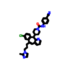 Cc1nccn1CCCC1=Cc2cccnc2C(C2CCN(C(=O)Nc3ccc(C#N)cc3)CC2)c2ccc(Cl)cc21